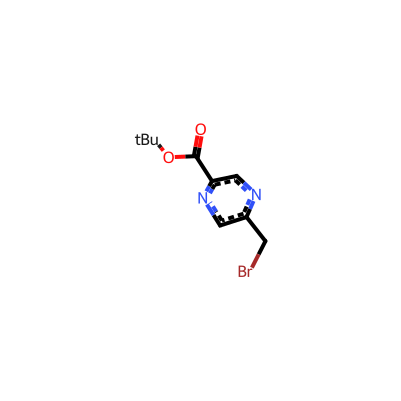 CC(C)(C)OC(=O)c1cnc(CBr)cn1